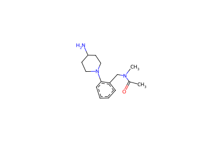 CC(=O)N(C)Cc1ccccc1N1CCC(N)CC1